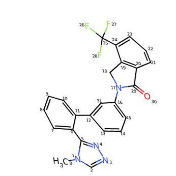 Cn1cnnc1-c1ccccc1-c1cccc(N2Cc3c(cccc3C(F)(F)F)C2=O)c1